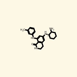 Cc1cccc(Nc2cc(N[C@@H]3CCCCC3N)cc3c2C(=O)NCC3)c1